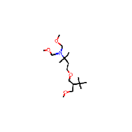 COCC(COCCC(C)(C)N(COC)COC)C(C)(C)C